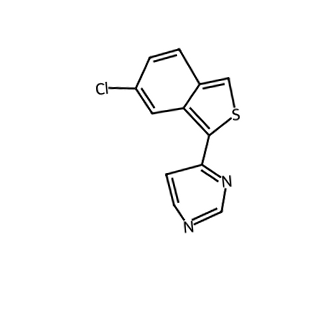 Clc1ccc2csc(-c3ccncn3)c2c1